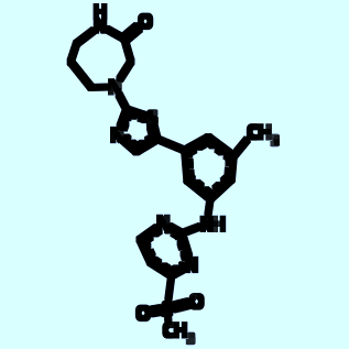 Cc1cc(Nc2nccc(S(C)(=O)=O)n2)cc(-c2cnc(N3CCCNC(=O)C3)s2)c1